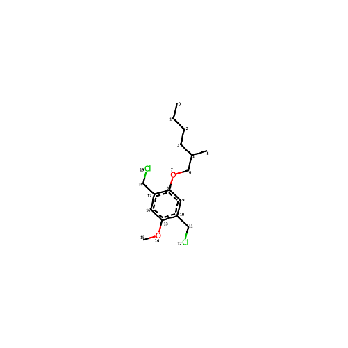 CCCCC(C)COc1cc(CCl)c(OC)cc1CCl